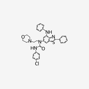 O=C(Nc1ccc(Cl)cc1)N(CCN1CCOCC1)c1cc(Nc2ccccc2)c2nc(-c3ccccc3)sc2c1